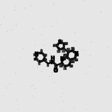 O=C(NCc1ccncc1)c1ccc2cncc(-c3ccsc3)c2n1